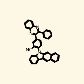 N#Cc1cc(-c2nc3ccccc3nc2-c2ccccc2)ccc1-n1c2ccccc2c2cc3ccccc3cc21